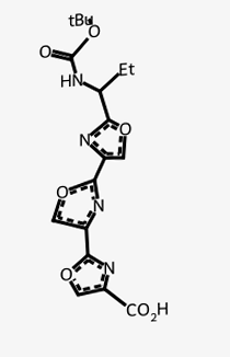 CCC(NC(=O)OC(C)(C)C)c1nc(-c2nc(-c3nc(C(=O)O)co3)co2)co1